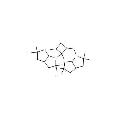 C[C@H]1C[C@H]2CN3C4C(CC3(C)C)CC(C)(C)N4C21N1C2NC(C)(C)CC2CC1(C)C